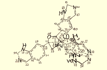 CC(C)(C)C1(c2ccc3c(c2)NCN=C3)C2(c3ccc4c(c3)NCN=C4)CC[N+](C(=O)O)(c3ccc4c(c3)NCN=C4)C1(c1ccc3c(c1)NCN=C3)O2